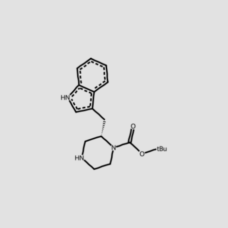 CC(C)(C)OC(=O)N1CCNC[C@@H]1Cc1c[nH]c2ccccc12